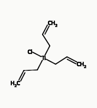 C=C[CH2][Ti]([Cl])([CH2]C=C)[CH2]C=C